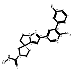 CCNC(=O)N1CC[C@@]2(CCn3nc(-c4cnc(N)c(-c5cccc(F)c5)c4)cc32)C1